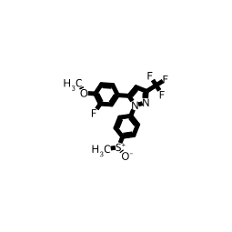 COc1ccc(-c2cc(C(F)(F)F)nn2-c2ccc([S+](C)[O-])cc2)cc1F